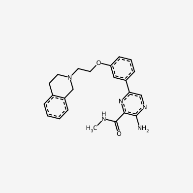 CNC(=O)c1nc(-c2cccc(OCCN3CCc4ccccc4C3)c2)cnc1N